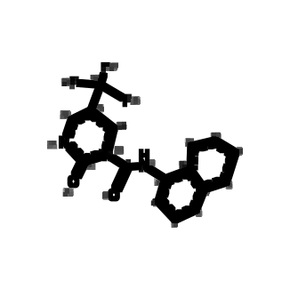 O=C(Nc1cccc2ccccc12)n1cc(C(F)(F)F)cnc1=O